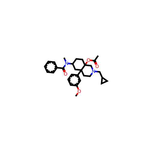 COc1cccc(C23CCN(CC4CC4)CC2(OC(C)=O)CCC(N(C)C(=O)c2ccccc2)C3)c1